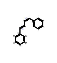 C(=C/c1ccccc1)/C=C/c1ccccc1